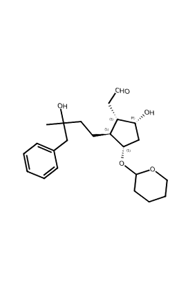 CC(O)(CC[C@H]1[C@H](CC=O)[C@H](O)C[C@@H]1OC1CCCCO1)Cc1ccccc1